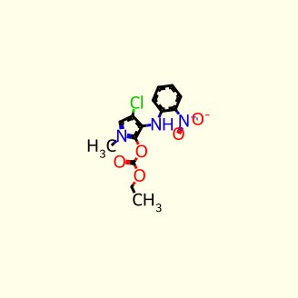 CCOC(=O)Oc1c(Nc2ccccc2[N+](=O)[O-])c(Cl)cn1C